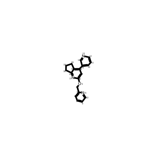 c1ccc(COc2cc(-c3cccnc3)c3c(n2)CCC3)nc1